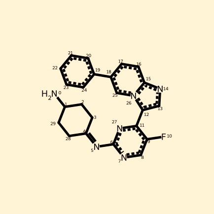 NC1CCC(=Nc2ncc(F)c(-c3cnc4ccc(-c5ccccc5)cn34)n2)CC1